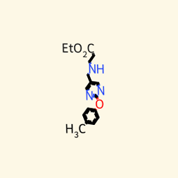 CCOC(=O)CCNCc1cnc(Oc2ccc(C)cc2)nc1